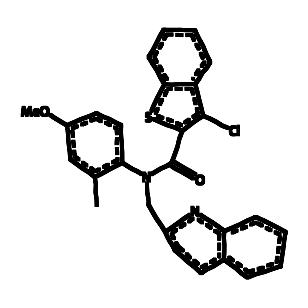 COc1ccc(N(Cc2ccc3ccccc3n2)C(=O)c2sc3ccccc3c2Cl)c(C)c1